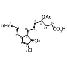 CCCCCCC=CC1C=C(Cl)C(=O)C1=CC=CC(CCC(=O)O)OC(C)=O